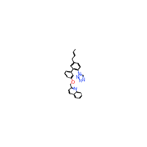 CC=CCc1ccc(-n2cnnn2)c(-c2cccc(OCc3ccc4ccccc4n3)c2)c1